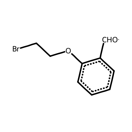 O=[C]c1ccccc1OCCBr